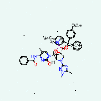 COc1ccc(C(OC[C@@]23CN(c4nc(C)n(C)n4)[C@@H]([C@H](n4cc(C)c(NC(=O)c5ccccc5)nc4=O)O2)[C@@H]3OP(OCCC#N)N(C(C)C)C(C)C)(c2ccccc2)c2ccc(OC)cc2)cc1